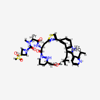 CCn1c(-c2cccnc2[C@H](C)OC)c2c3cc(ccc31)-c1csc(n1)C[C@H](NC(=O)[C@H](C(C)C)N(C)C(=O)N1CC(S(C)(=O)=O)C1)C(=O)N1CCC[C@](C=O)(COCC(C)(C)C2)N1